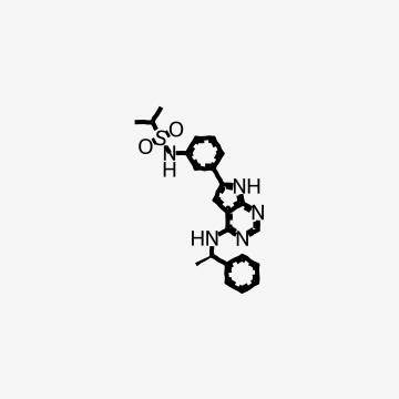 CC(C)S(=O)(=O)Nc1cccc(-c2cc3c(N[C@H](C)c4ccccc4)ncnc3[nH]2)c1